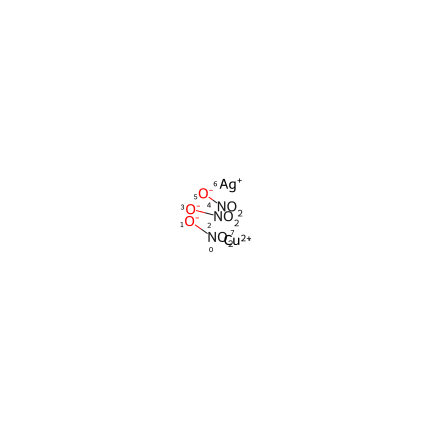 O=[N+]([O-])[O-].O=[N+]([O-])[O-].O=[N+]([O-])[O-].[Ag+].[Cu+2]